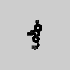 CC(C)(C)C[N+]1(Cc2ccc(Cl)cc2Cl)CC[C@@H](CN)C1